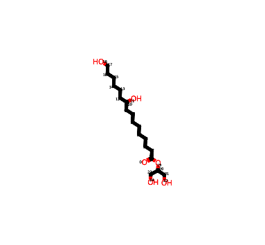 O=C(CCCCCCCCC(O)CCCCCCO)OC(CO)CO